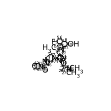 CCc1c(F)ccc2cc(O)cc(N3CCc4c(nc(OCC5(CN(C)C)CC5)nc4N4CCCn5nc(C(=O)N6CCOCC6)cc5C4)C3)c12